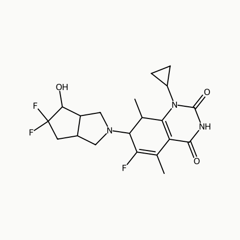 CC1=C(F)C(N2CC3CC(F)(F)C(O)C3C2)C(C)c2c1c(=O)[nH]c(=O)n2C1CC1